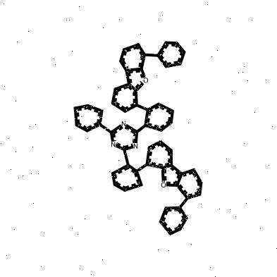 c1ccc(-c2nc(-c3ccccc3-c3cccc4c3oc3c(-c5ccccc5)cccc34)nc(-c3ccccc3-c3cccc4c3oc3c(-c5ccccc5)cccc34)n2)cc1